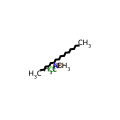 Br.CCCCCCCCCCCC(CC(Cl)CCCC)N(C)C